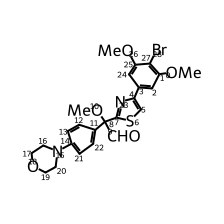 COc1cc(-c2csc(C(C=O)(OC)c3ccc(N4CCOCC4)cc3)n2)cc(OC)c1Br